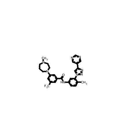 Cc1ccc(NC(=O)c2cc(N3CCCN(C)CC3)cc(C(F)(F)F)c2)cc1-n1cc(-c2cncnc2)nn1